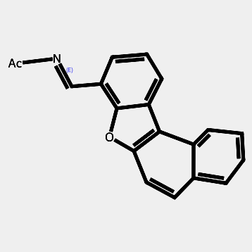 CC(=O)/N=C/c1cccc2c1oc1ccc3ccccc3c12